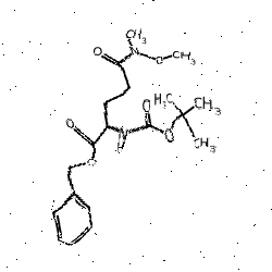 CON(C)C(=O)CCC(NC(=O)OC(C)(C)C)C(=O)OCc1ccccc1